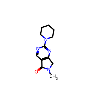 CN1Cc2nc(N3CCCCC3)ncc2C1=O